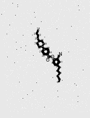 CCCCCCc1ccc(OC(=O)c2ccc(C3CCC(CCCC)CC3)cc2)c(C#N)c1